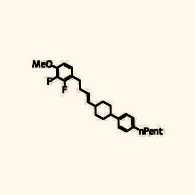 CCCCCc1ccc(C2CCC(/C=C/CCc3ccc(OC)c(F)c3F)CC2)cc1